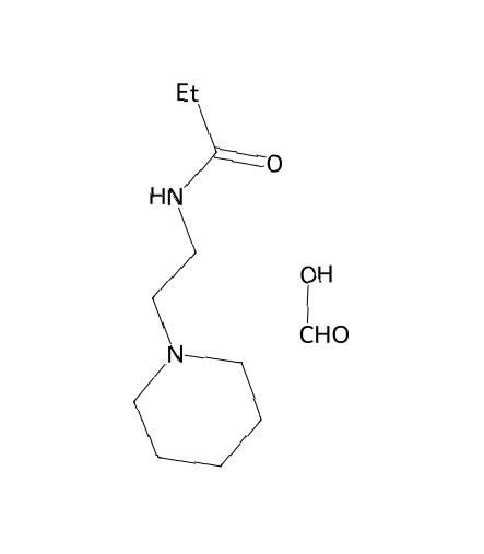 CCC(=O)NCCN1CCCCC1.O=CO